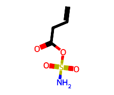 C=CCC(=O)OS(N)(=O)=O